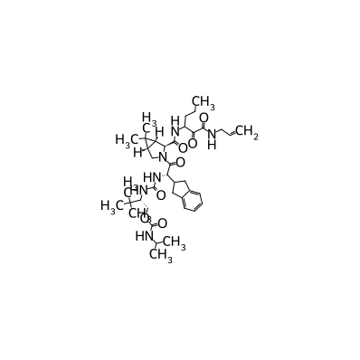 C=CCNC(=O)C(=O)C(CCC)NC(=O)[C@@H]1[C@@H]2[C@H](CN1C(=O)[C@@H](NC(=O)N[C@H](COC(=O)NC(C)C)C(C)(C)C)C1Cc3ccccc3C1)C2(C)C